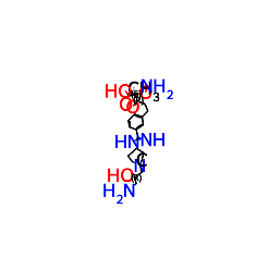 C[C@@](ON)(C(=O)O)[C@H]1CCc2cc(C(=N)NC3CCN(C[C@H](O)CN)CC3)ccc2O1